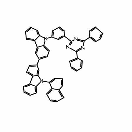 c1ccc(-c2nc(-c3ccccc3)nc(-c3cccc(-n4c5ccccc5c5cc(-c6ccc7c8ccccc8n(-c8cccc9ccccc89)c7c6)ccc54)c3)n2)cc1